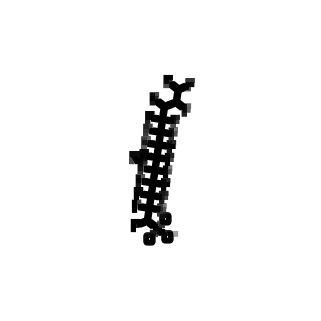 O=S(=O)([O-])C(F)C(F)(F)C(F)(F)C(F)(F)C(F)(F)C(F)(F)C(F)(F)C(F)(F)C(F)(F)C(F)C(F)C(F)F.[Na+]